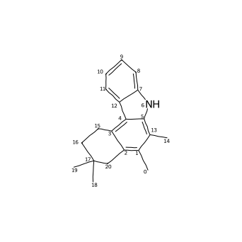 Cc1c2c(c3c([nH]c4ccccc43)c1C)CCC(C)(C)C2